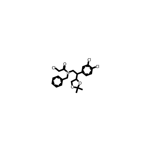 CC1(C)OCC(C(CN(Cc2ccccc2)C(=O)CCl)c2ccc(Cl)c(Cl)c2)O1